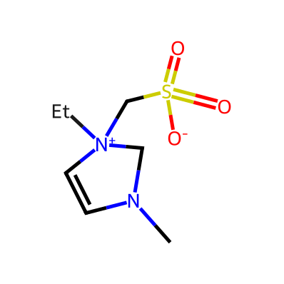 CC[N+]1(CS(=O)(=O)[O-])C=CN(C)C1